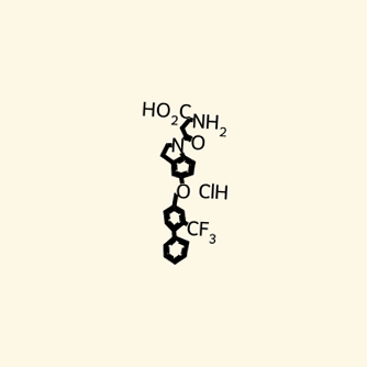 Cl.NC(CC(=O)N1CCc2cc(OCc3ccc(-c4ccccc4)c(C(F)(F)F)c3)ccc21)C(=O)O